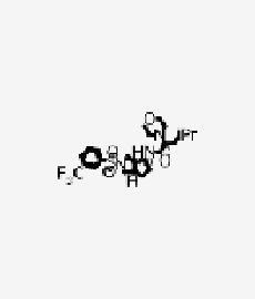 CC(C)C[C@@H](C(=O)N[C@@H]1CC[C@H]2CN(S(=O)(=O)c3cccc(C(F)(F)F)c3)C[C@H]21)N1CCOCC1